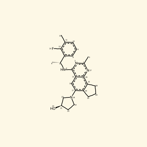 Cc1nc(N[C@H](C)c2cccc(C)c2F)c2cc(N3CC[C@@H](O)C3)c3c(c2n1)CCC3